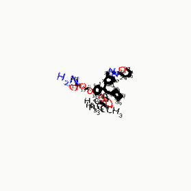 CC1(C)OB(/C(=C(\c2ccc(OCCOC(N)=O)cc2)c2ccc3c(cnn3C3CCCCO3)c2)C2CCC2)OC1(C)C